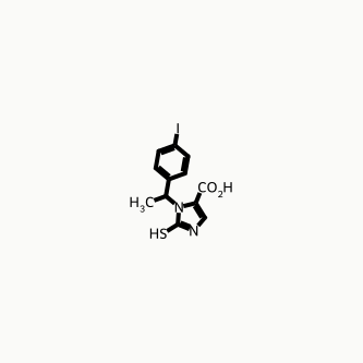 CC(c1ccc(I)cc1)n1c(C(=O)O)cnc1S